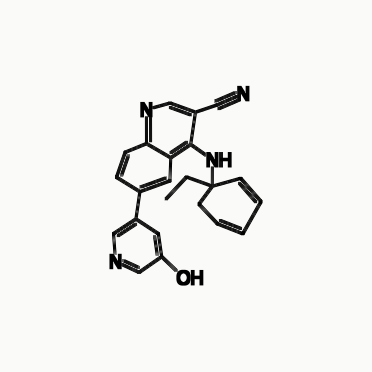 CCC1(Nc2c(C#N)cnc3ccc(-c4cncc(O)c4)cc23)C=CC=CC1